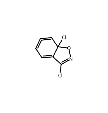 ClC1=NOC2(Cl)C=C=CC=C12